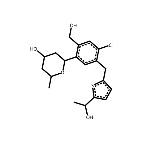 CC1CC(O)CC(c2cc(Cc3ccc(C(C)O)s3)c(Cl)cc2CO)O1